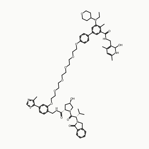 CCN(c1cc(-c2ccc(OCCOCCOCCOCCOCCOc3cc(-c4scnc4C)ccc3CNC(=O)[C@@H]3C[C@@H](O)CN3C(=O)[C@H](C(C)C)N3Cc4ccccc4C3=O)cc2)cc(C(=O)NCC2=C(C)C=C(C)NC2O)c1C)C1CCOCC1